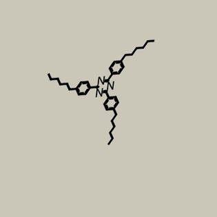 CCCCCCc1ccc(-c2nc(-c3ccc(CCCCCC)cc3)nc(-c3ccc(CCCCCC)cc3)n2)cc1